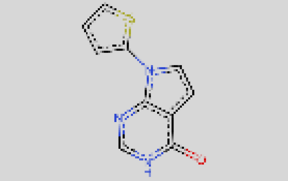 O=c1[nH]cnc2c1ccn2-c1cccs1